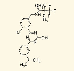 CC(C)c1cccc(-c2nc(O)nc(-c3cc(CNC(=O)C(C)(C)C(F)(F)F)ccc3Cl)n2)c1